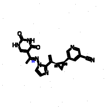 C=C(c1nccn1/N=C(\C)c1c[nH]c(=O)[nH]c1=O)[C@H]1C[C@@H]1c1cncc(C#N)c1